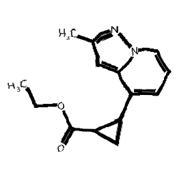 CCOC(=O)C1CC1c1cccn2nc(C)cc12